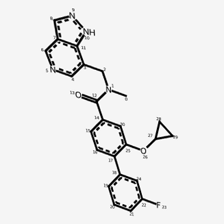 CN(Cc1cncc2cn[nH]c12)C(=O)c1ccc(-c2cccc(F)c2)c(OC2CC2)c1